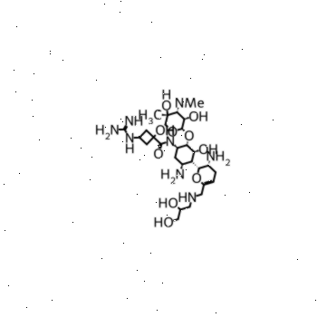 CN[C@@H]1[C@@H](O)[C@@H](O[C@H]2[C@H](NC(=O)C3(O)CC(NC(=N)N)C3)C[C@H](N)C([C@H]3OC(CNCC(O)CO)=CC[C@H]3N)[C@@H]2O)OC[C@]1(C)O